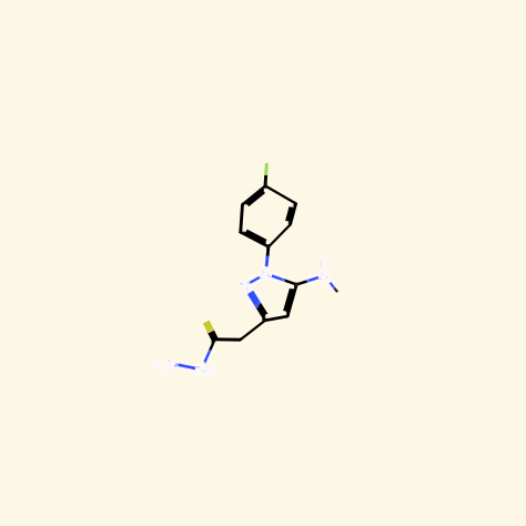 NNC(=S)Cc1cc(NC(=O)O)n(-c2ccc(F)cc2)n1